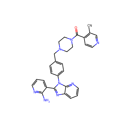 N#Cc1cnccc1C(=O)N1CCN(Cc2ccc(-n3c(-c4cccnc4N)nc4cccnc43)cc2)CC1